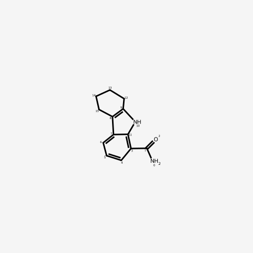 NC(=O)c1c[c]cc2c3c([nH]c12)CCCC3